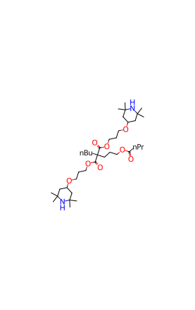 CCCCC(CCCOC(=O)CCC)(C(=O)OCCCOC1CC(C)(C)NC(C)(C)C1)C(=O)OCCCOC1CC(C)(C)NC(C)(C)C1